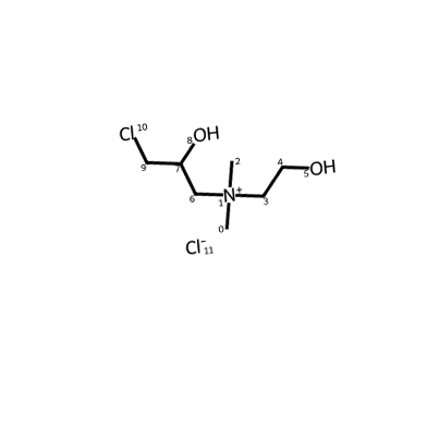 C[N+](C)(CCO)CC(O)CCl.[Cl-]